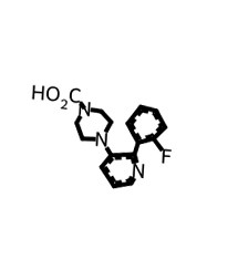 O=C(O)N1CCN(c2cccnc2-c2ccccc2F)CC1